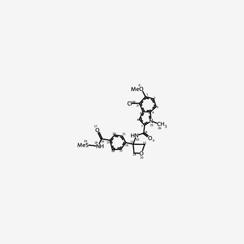 COc1ccc2c(cc(C(=O)NC3(c4ccc(C(=O)NSC)cc4)COC3)n2C)c1Cl